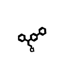 ClCC=C(c1ccccc1)c1ccc(-c2ccccc2)cc1